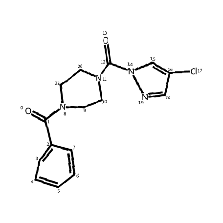 O=C(c1ccccc1)N1CCN(C(=O)n2cc(Cl)cn2)CC1